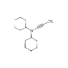 CC#CN(C1CCCCC1)C1CCCCC1